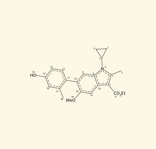 CCOC(=O)c1c(C)n(C2CC2)c2cc(-c3ccc(O)cc3C)c(OC)cc12